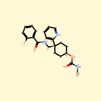 Bc1ccccc1C(=O)NC[C@]1(c2ccccn2)CC[C@H](OC(=O)NCC)CC1